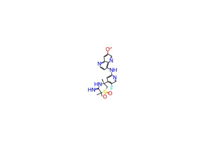 COc1cnc2c(Nc3cc([C@]4(C)CS(=O)(=O)C(C)(C)C(=N)N4)c(F)cn3)ccnc2c1